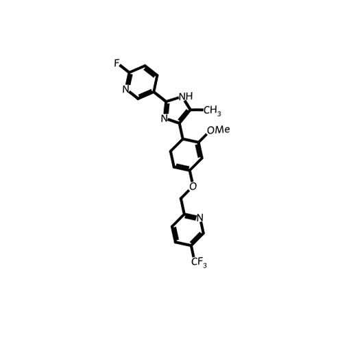 COC1=CC(OCc2ccc(C(F)(F)F)cn2)=CCC1c1nc(-c2ccc(F)nc2)[nH]c1C